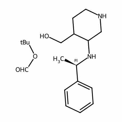 CC(C)(C)OC=O.C[C@@H](NC1CNCCC1CO)c1ccccc1